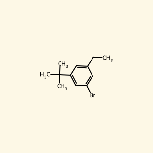 CCc1cc(Br)cc(C(C)(C)C)c1